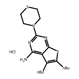 CCCCc1sc2nc(N3CCSCC3)nc(N)c2c1CCCC.Cl